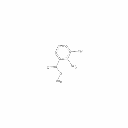 CCCCOC(=O)c1cccc(O)c1N